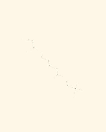 C=C(F)C(=O)OCCCCC(=O)OCC(F)(F)S